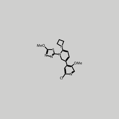 COc1nnc(N2CC(c3cc(Cl)ncc3OC)=CC=C2N2CCC2)s1